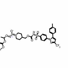 Cc1ccc(-c2cc(C(F)(F)F)nn2-c2ccc(S(=O)(=O)NC(=O)OCC3CCN(/[N+]([O-])=N/OC(C)OC(=O)OC(C)C)CC3)cc2)cc1